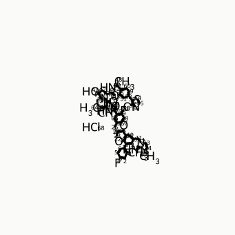 Cc1cc(F)ccc1-c1cc(Cn2ccn(C)c2=N)cc2c1OC[C@H](Cc1ccc(F)c(C(=O)N[C@H](C(=O)N3C[C@H](O)C[C@H]3C(=O)N[C@@H](C)c3ccc(-c4scnc4C)cc3)C(C)(C)C)c1)C2=O.Cl